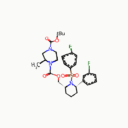 CC1CN(C(=O)OC(C)(C)C)CCN1C(=O)OC[C@H]1CCC[C@@H](c2cccc(F)c2)N1S(=O)(=O)c1ccc(F)cc1